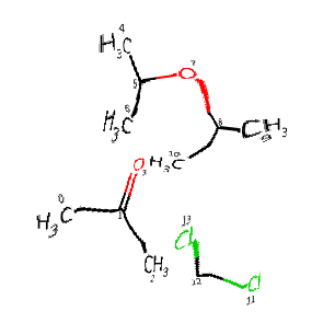 CC(C)=O.CC(C)OC(C)C.ClCCl